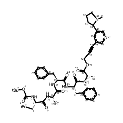 CC(C)C[C@H](NC(=O)OC(C)(C)C)C(=O)N[C@H](C(=O)N[C@@H](Cc1ccccc1)C(=O)N[C@@H](Cc1ccccc1)C(=O)N[C@@H](C)C(=O)OCC#Cc1cncc(C2CCCN2C)c1)C(C)C